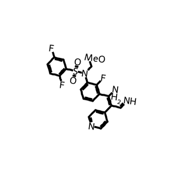 COCN(c1cccc(/C(N)=C(/C=N)c2ccncc2)c1F)S(=O)(=O)c1cc(F)ccc1F